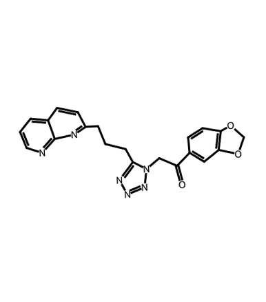 O=C(Cn1nnnc1CCCc1ccc2cccnc2n1)c1ccc2c(c1)OCO2